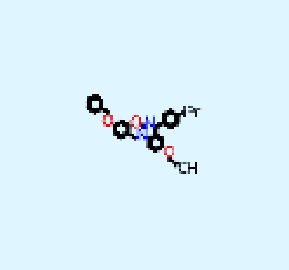 C#CCOc1ccc2c(c1)c(-c1ccc(C(C)C)cc1)nc(=O)n2Cc1ccc(OCc2ccccc2)cc1